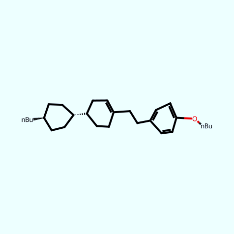 CCCCOc1ccc(CCC2=CCC([C@H]3CC[C@H](CCCC)CC3)CC2)cc1